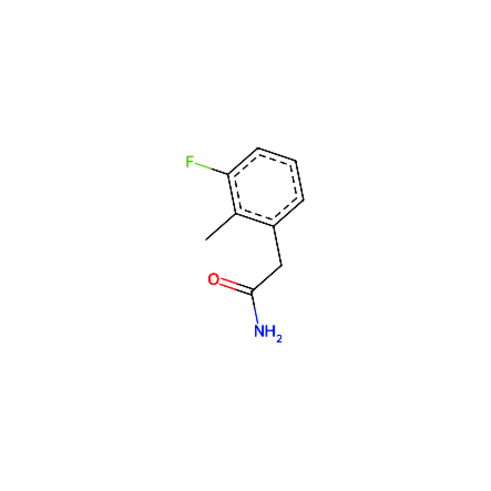 Cc1c(F)cccc1CC(N)=O